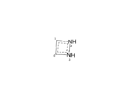 [c]1c[nH][nH]1